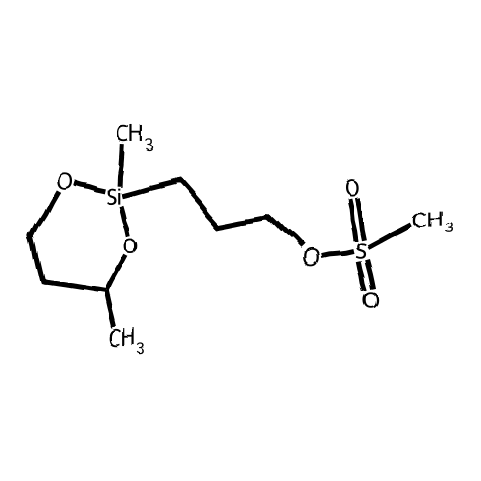 CC1CCO[Si](C)(CCCOS(C)(=O)=O)O1